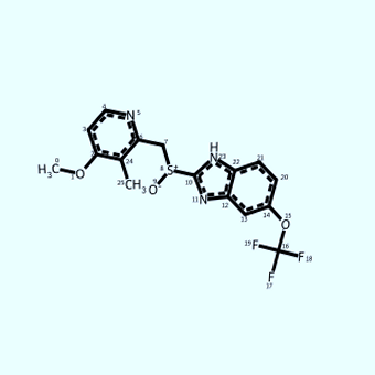 COc1ccnc(C[S+]([O-])c2nc3cc(OC(F)(F)F)ccc3[nH]2)c1C